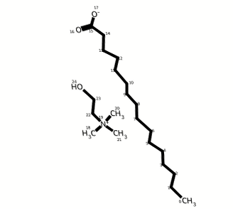 CCCCCCCCCCCCCCCC(=O)[O-].C[N+](C)(C)CCO